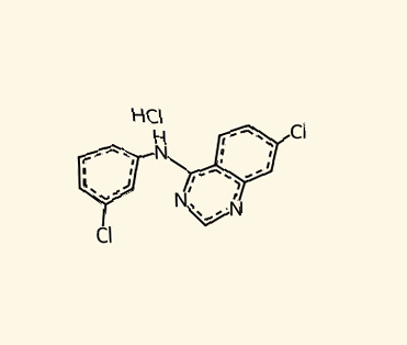 Cl.Clc1cccc(Nc2ncnc3cc(Cl)ccc23)c1